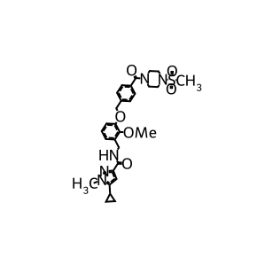 COc1c(CNC(=O)c2cc(C3CC3)n(C)n2)cccc1OCc1ccc(C(=O)N2CCN(S(C)(=O)=O)CC2)cc1